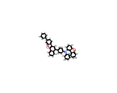 c1ccc(-c2ccc3c(c2)oc2c4ccccc4c(-c4ccc(N(c5ccccc5)c5cccc6oc7ccccc7c56)cc4)cc32)cc1